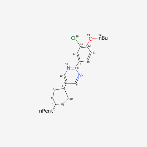 CCCCCC1CCC(c2cnc(-c3ccc(OCCCC)c(Cl)c3)nc2)CC1